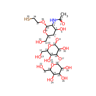 CC(=O)NC1C(O)[C@H](O[C@@H]2OC(CO)[C@H](O)C(O[C@H]3OC(CO)[C@H](O)C(O)C3O)C2O)C(CO)O[C@H]1OCCS